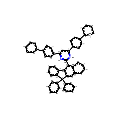 c1ccc(-c2ccc(-c3cc(-c4ccc(-c5ccccc5)cc4)nc(-c4c5c(cc6ccccc46)C(c4ccccc4)(c4ccccc4)c4ccccc4-5)n3)cc2)cc1